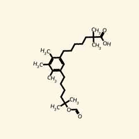 Cc1c(CCCCCC(C)(C)C(=O)O)cc(CCCCC(C)(C)OC=O)c(C)c1C